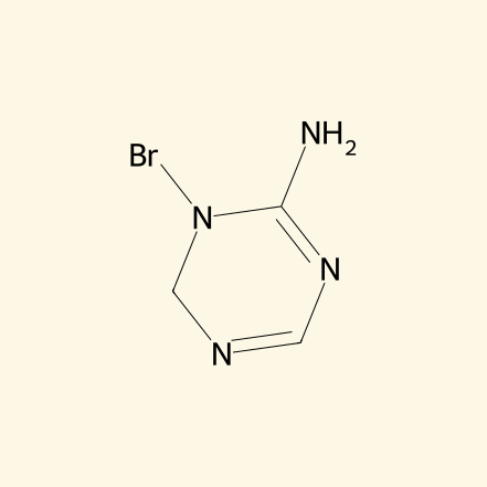 NC1=NC=NCN1Br